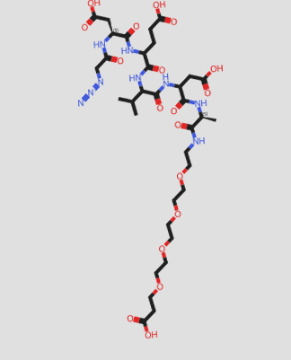 CC(C)C(NC(=O)C(CCC(=O)O)NC(=O)[C@H](CC(=O)O)NC(=O)CN=[N+]=[N-])C(=O)NC(CC(=O)O)C(=O)N[C@@H](C)C(=O)NCCOCCOCCOCCOCCC(=O)O